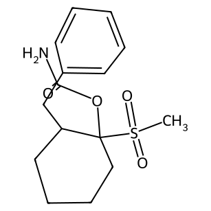 CS(=O)(=O)C1(OC(N)=O)CCCCC1Cc1ccccc1